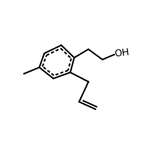 C=CCc1cc(C)ccc1CCO